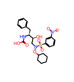 O=C(O)N[C@@H](Cc1ccccc1)[C@@H](O)CN(OC1CCCCC1)S(=O)(=O)c1cccc([N+](=O)[O-])c1